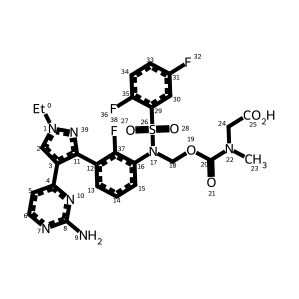 CCn1cc(-c2ccnc(N)n2)c(-c2cccc(N(COC(=O)N(C)CC(=O)O)S(=O)(=O)c3cc(F)ccc3F)c2F)n1